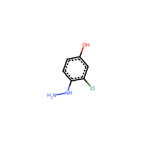 NNc1ccc(O)cc1Cl